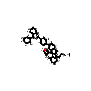 N=C/C=C\C1=Cc2ccc(-c3ccc(-c4nc(-c5ccccc5)c5ccccc5n4)cc3)cc2C12c1ccccc1Oc1ccccc12